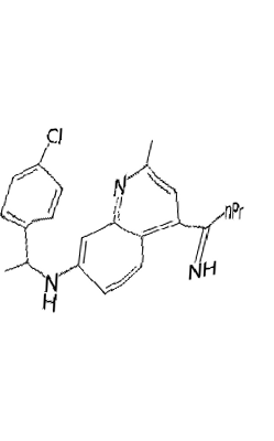 CCCC(=N)c1cc(C)nc2cc(NC(C)c3ccc(Cl)cc3)ccc12